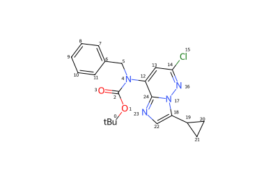 CC(C)(C)OC(=O)N(Cc1ccccc1)c1cc(Cl)nn2c(C3CC3)cnc12